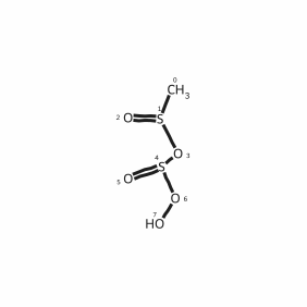 CS(=O)OS(=O)OO